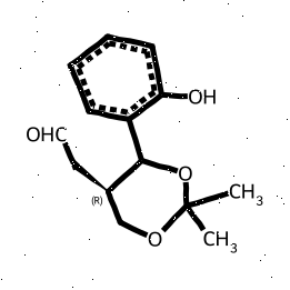 CC1(C)OC[C@@H](CC=O)C(c2ccccc2O)O1